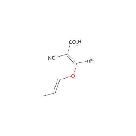 CC=COC(CCC)=C(C#N)C(=O)O